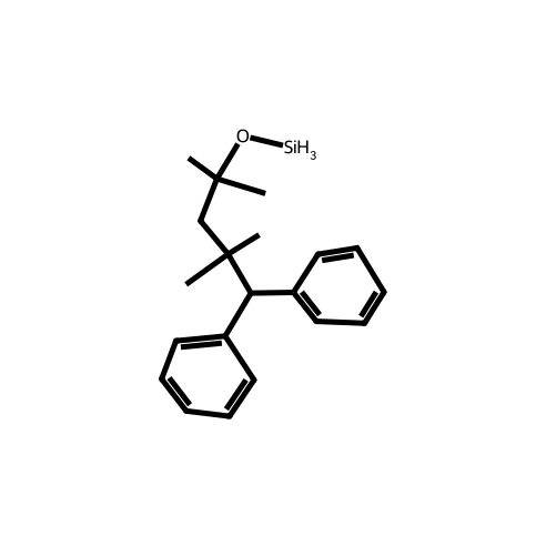 CC(C)(CC(C)(C)C(c1ccccc1)c1ccccc1)O[SiH3]